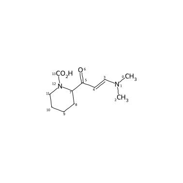 CN(C)C=CC(=O)C1CCCCN1C(=O)O